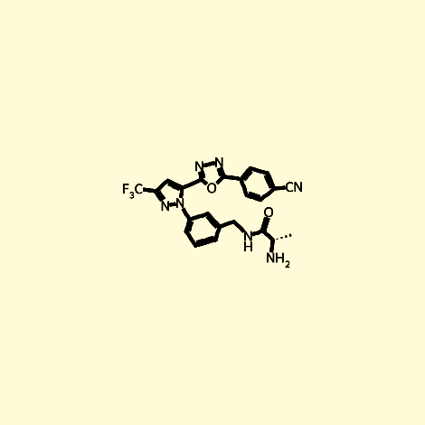 C[C@H](N)C(=O)NCc1cccc(-n2nc(C(F)(F)F)cc2-c2nnc(-c3ccc(C#N)cc3)o2)c1